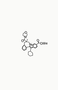 COC(=O)c1ccc2c(C3CCCCC3)c3n(c2c1)CC(C)(C(=O)N1CCOCC1)Cc1ccccc1-3